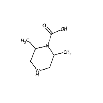 CC1CNCC(C)N1C(=O)O